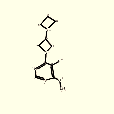 COc1ncnc(N2CC(N3CCC3)C2)c1F